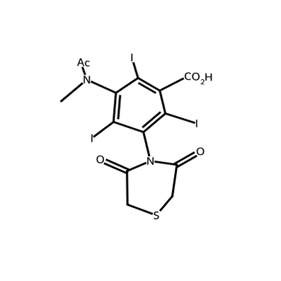 CC(=O)N(C)c1c(I)c(C(=O)O)c(I)c(N2C(=O)CSCC2=O)c1I